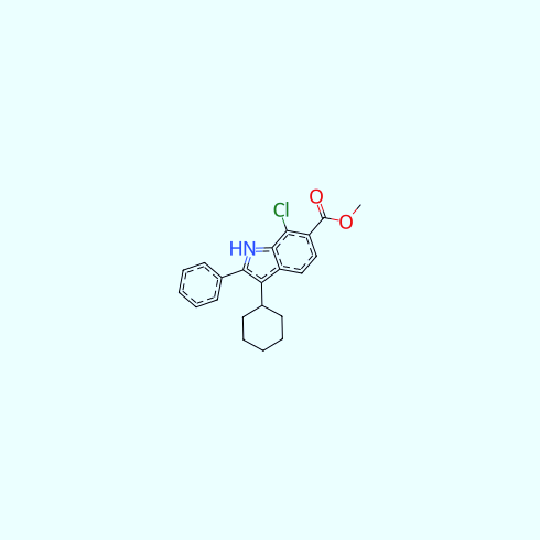 COC(=O)c1ccc2c(C3CCCCC3)c(-c3ccccc3)[nH]c2c1Cl